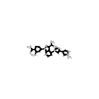 CC(C)c1nn(-c2ccc(C(N)=O)c(N)c2)c2nccc(-n3cnc(-c4cnn(C)c4)c3)c12